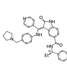 CC[C@@H](NC(=O)c1ccc2c(c1)C(=C(Nc1ccc(CN3CCCC3)cc1)c1ccncc1)C(=O)N2)c1ccccc1